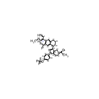 CN/C=C(\C=N)c1cc2c(cc1C(F)F)N(c1nn(-c3ccc(OC(F)(F)F)cc3)c3c1CN(C(C)=O)CC3)CCC2